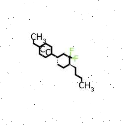 CCCC[C@H]1CC[C@H](C23CCC(CC)(CC2)CC3)CC1(F)F